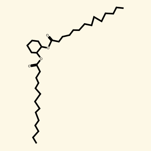 CCCCCCCCCCCCCC(=O)OC1CCCCC1OC(=O)CCCCCCCCCCCCC